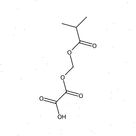 CC(C)C(=O)OCOC(=O)C(=O)O